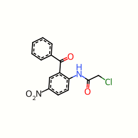 O=C(CCl)Nc1ccc([N+](=O)[O-])cc1C(=O)c1ccccc1